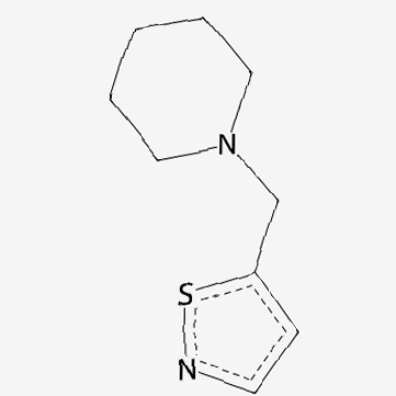 c1cc(CN2CCCCC2)sn1